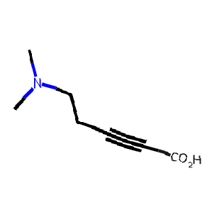 CN(C)CCC#CC(=O)O